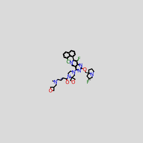 CN(C/C=C/C(=O)N1CCN(c2nc(OC[C@@]34CCCN3C[C@H](F)C4)nc3c(F)c(-c4cccc5cccc(Cl)c45)ncc23)CC12COC2)CC1COC1